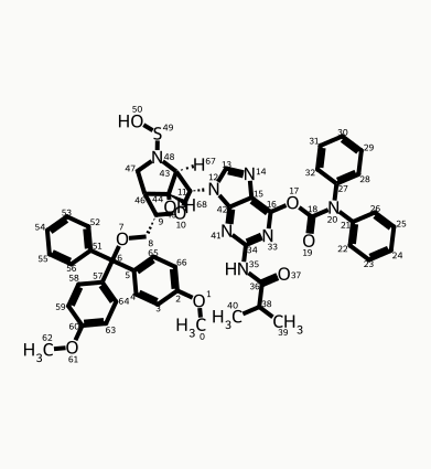 COc1ccc(C(OC[C@H]2O[C@@H](n3cnc4c(OC(=O)N(c5ccccc5)c5ccccc5)nc(NC(=O)C(C)C)nc43)[C@H]3[C@H](O)C2CN3SO)(c2ccccc2)c2ccc(OC)cc2)cc1